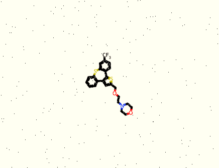 FC(F)(F)c1ccc2c(c1)Sc1ccccc1-c1cc(COCCN3CCOCC3)sc1-2